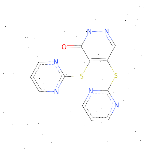 O=C1[N]N=CC(Sc2ncccn2)=C1Sc1ncccn1